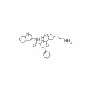 NCCCC1CN[C@H](C(=O)NC(CCc2ccccc2)C(=O)Nc2cnc3ccccc3c2)C1